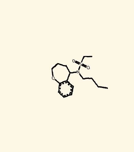 CCCCN(C1CCCOc2ccccc21)S(=O)(=O)CC